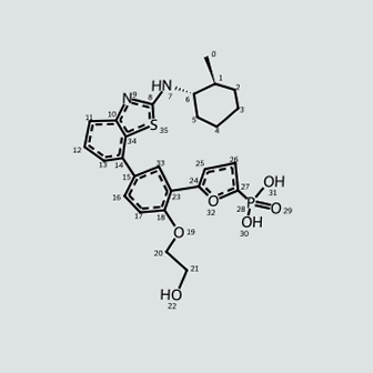 C[C@H]1CCCC[C@@H]1Nc1nc2cccc(-c3ccc(OCCO)c(-c4ccc(P(=O)(O)O)o4)c3)c2s1